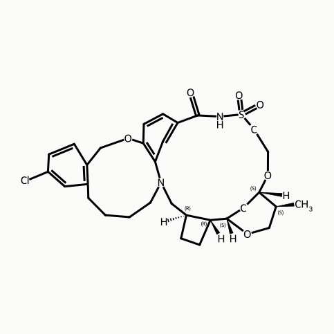 C[C@H]1CO[C@H]2C[C@@H]1OCCS(=O)(=O)NC(=O)c1ccc3c(c1)N(CCCCc1cc(Cl)ccc1CO3)C[C@@H]1CC[C@H]12